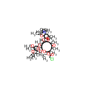 CC[C@@H]1OC(=O)[C@H](C)[C@H](O[C@@H]2C[C@@](C)(OC)[C@@H](O[Si](CC)(CC)CC)[C@H](C)O2)[C@H](C)[C@@H](O[C@@H]2O[C@H](C)C[C@H](N(C)C)[C@H]2O[Si](CC)(CC)CC)[C@](C)(OC)C[C@@H](C)C(=O)[C@H](C)C[C@]1(C)OC(=O)CCl